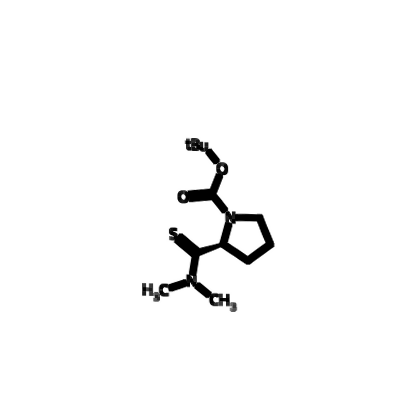 CN(C)C(=S)[C@@H]1CCCN1C(=O)OC(C)(C)C